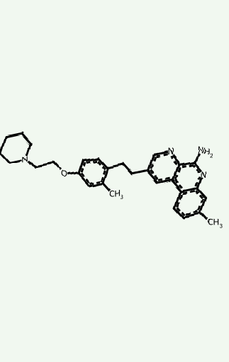 Cc1ccc2c(c1)nc(N)c1ncc(CCc3ccc(OCCN4CCCCC4)cc3C)cc12